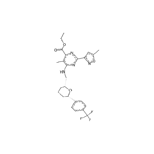 CCOC(=O)c1nc(-c2cc(C)on2)nc(NC[C@H]2CCC[C@@H](c3ccc(C(F)(F)F)cc3)O2)c1C